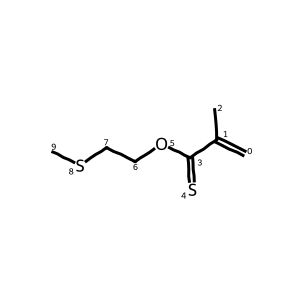 C=C(C)C(=S)OCCSC